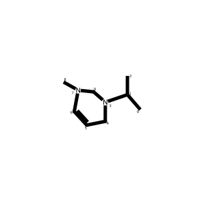 CC(C)N1CC=CN(C)C1